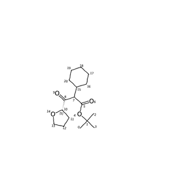 CC(C)(C)OC(=O)C(C(=O)[C@@H]1CCCO1)C1CCCCC1